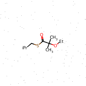 CCOC(C)(C)C(=O)SCC(C)C